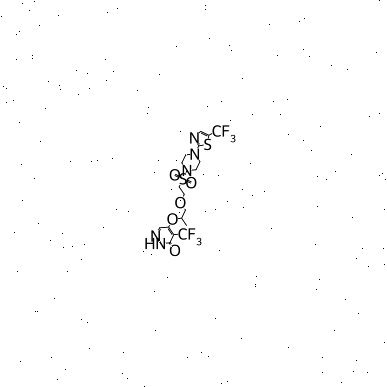 CC(COCCS(=O)(=O)N1CCN(c2ncc(C(F)(F)F)s2)CC1)Oc1cn[nH]c(=O)c1C(F)(F)F